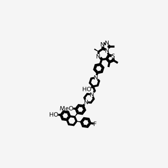 COc1cc(N2CCN(CC3(O)CCN(c4ccc(C5=N[C@@H](C)c6nnc(C)n6-c6sc(C)c(C)c65)cc4)CC3)CC2)ccc1[C@@H]1c2ccc(O)cc2CC[C@@H]1c1ccc(F)cc1